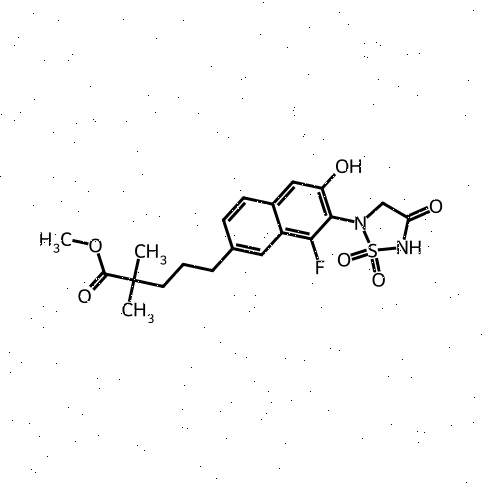 COC(=O)C(C)(C)CCCc1ccc2cc(O)c(N3CC(=O)NS3(=O)=O)c(F)c2c1